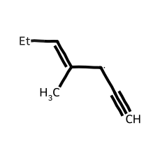 C#C[CH]/C(C)=C/CC